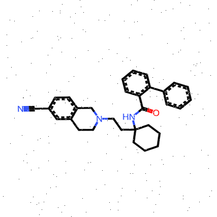 N#Cc1ccc2c(c1)CCN(CCC1(NC(=O)c3ccccc3-c3ccccc3)CCCCC1)C2